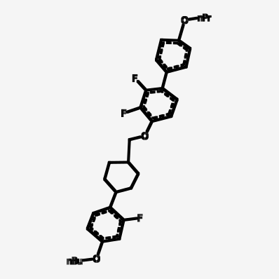 CCCCOc1ccc(C2CCC(COc3ccc(-c4ccc(OCCC)cc4)c(F)c3F)CC2)c(F)c1